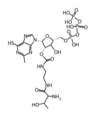 Cc1nc(S)c2ncn([C@@H]3O[C@H](COP(=O)(O)OP(=O)(O)OP(=O)(O)O)C(O)[C@@H]3OC(=O)NCCNC(=O)C(N)C(C)O)c2n1